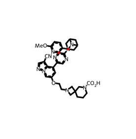 COc1ccc(CN2C3CC2CN(c2cnc(-c4cc(OCCN5CC6(CCCN(C(=O)O)C6)C5)cn5ncc(C#N)c45)cn2)C3)cn1